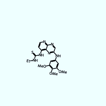 CCNC(=S)Nc1ccnc2ncc(Nc3cc(OC)c(OC)c(OC)c3)nc12